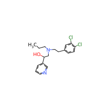 CCCN(CCc1ccc(Cl)c(Cl)c1)CC(O)c1cccnc1